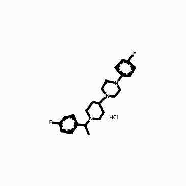 CC(c1ccc(F)cc1)N1CCC(N2CCN(c3ccc(F)cc3)CC2)CC1.Cl